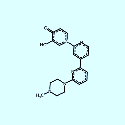 CN1CCN(c2cccc(-c3ccnc(-n4ccc(=O)c(O)c4)c3)n2)CC1